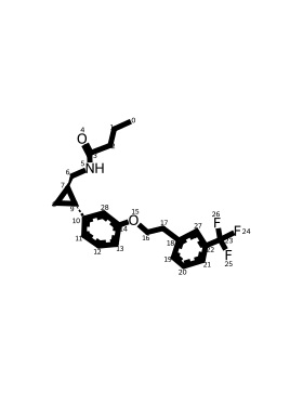 CCCC(=O)NC[C@@H]1C[C@H]1c1cccc(OCCc2cccc(C(F)(F)F)c2)c1